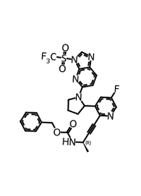 C[C@H](C#Cc1ncc(F)cc1C1CCCN1c1ccc2ncn(S(=O)(=O)C(F)(F)F)c2n1)NC(=O)OCc1ccccc1